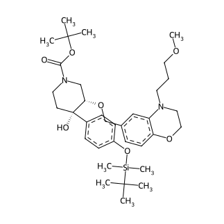 COCCCN1CCOc2ccc(CO[C@H]3CN(C(=O)OC(C)(C)C)CC[C@]3(O)c3ccc(O[Si](C)(C)C(C)(C)C)cc3)cc21